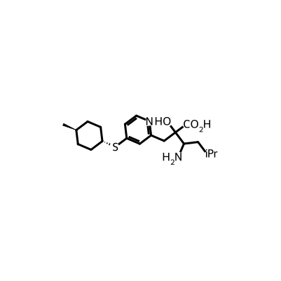 CC(C)CC(N)C(O)(Cc1cc(S[C@H]2CC[C@H](C)CC2)ccn1)C(=O)O